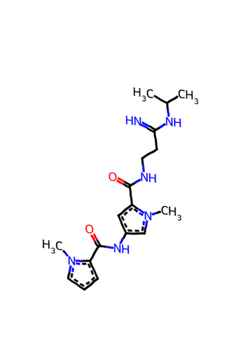 CC(C)NC(=N)CCNC(=O)c1cc(NC(=O)c2cccn2C)cn1C